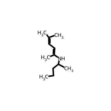 CCCC(C)N/C(C)=C/C=C(C)C